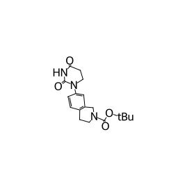 CC(C)(C)OC(=O)N1CCc2ccc(N3CCC(=O)NC3=O)cc2C1